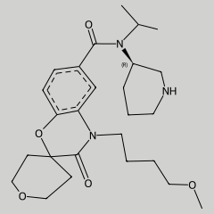 COCCCCN1C(=O)C2(CCOCC2)Oc2ccc(C(=O)N(C(C)C)[C@@H]3CCCNC3)cc21